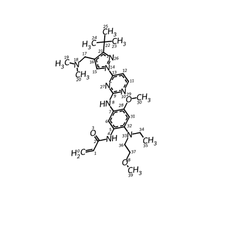 C=CC(=O)Nc1cc(Nc2nccc(-n3cc(CN(C)C)c(C(C)(C)C)n3)n2)c(OC)cc1N(CC)CCOC